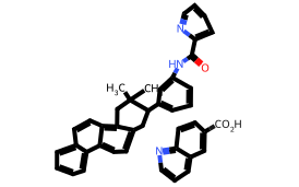 CC1(C)Cc2c(ccc3c2ccc2ccccc23)CC1c1cccc(NC(=O)c2ccccn2)c1.O=C(O)c1ccc2ncccc2c1